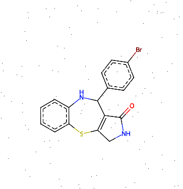 O=C1NCC2=C1C(c1ccc(Br)cc1)Nc1ccccc1S2